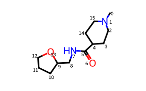 CN1CCC(C(=O)NCC2CCCO2)CC1